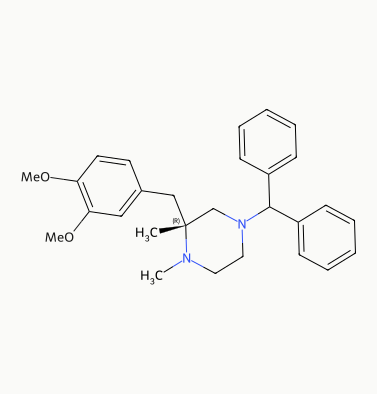 COc1ccc(C[C@]2(C)CN(C(c3ccccc3)c3ccccc3)CCN2C)cc1OC